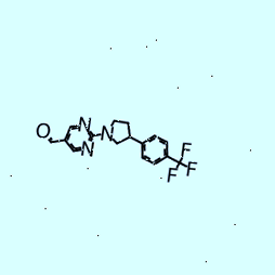 O=Cc1cnc(N2CCC(c3ccc(C(F)(F)F)cc3)C2)nc1